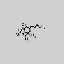 C=CCCC1CC(C)(C)N(OC)C(C)(C)C1